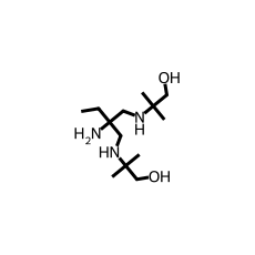 CCC(N)(CNC(C)(C)CO)CNC(C)(C)CO